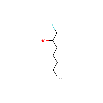 CCCCCCCCC(O)CF